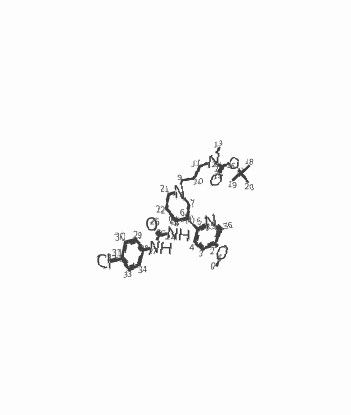 COc1ccc([C@@H]2CN(CCCN(C)C(=O)OC(C)(C)C)CC[C@H]2NC(=O)Nc2ccc(Cl)cc2)nc1